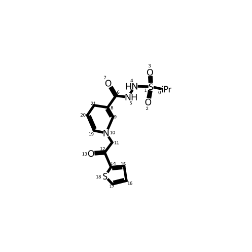 CC(C)S(=O)(=O)NNC(=O)C1=CN(CC(=O)c2cccs2)C=CC1